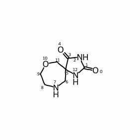 O=C1NC(=O)C2(CNCCOC2)N1